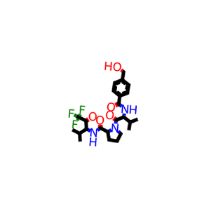 CC(C)C(NC(=O)c1ccc(CO)cc1)C(=O)N1CCCC1C(=O)NC(C(=O)C(F)(F)F)C(C)C